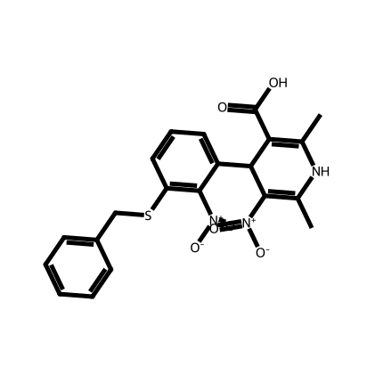 CC1=C(C(=O)O)C(c2cccc(SCc3ccccc3)c2[N+](=O)[O-])C([N+](=O)[O-])=C(C)N1